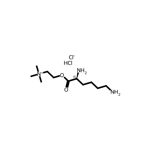 C[N+](C)(C)CCOC(=O)[C@@H](N)CCCCN.Cl.[Cl-]